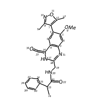 COc1cc2c(cc1-c1c(C)noc1C)C(=C=O)NC(CNC(=O)C(C)c1ccccc1)=N2